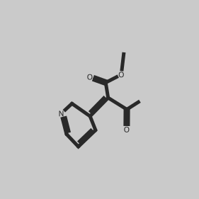 COC(=O)C(C(C)=O)=C1C=CC=NC1